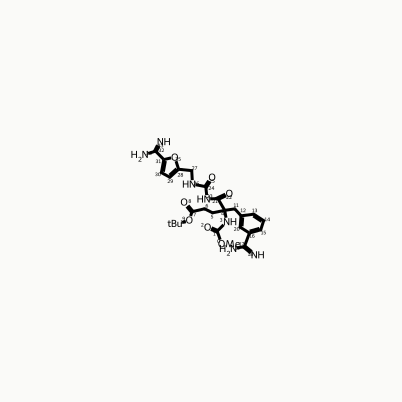 COC(=O)NC(CCC(=O)OC(C)(C)C)(Cc1cccc(C(=N)N)c1)C(=O)NC(=O)NCc1ccc(C(=N)N)o1